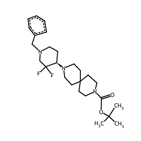 CC(C)(C)OC(=O)N1CCC2(CC1)CCN([C@@H]1CCN(Cc3ccccc3)CC1(F)F)CC2